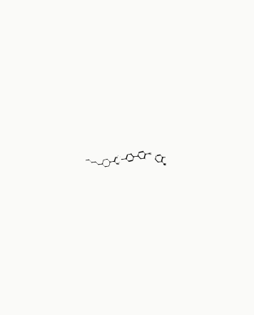 CCCCCC1CCC(c2cnc(-c3ccc(-c4cc(F)c(C(F)(F)Oc5ccc(C(F)(F)F)c(F)c5)c(F)c4)c(F)c3)nc2)CC1